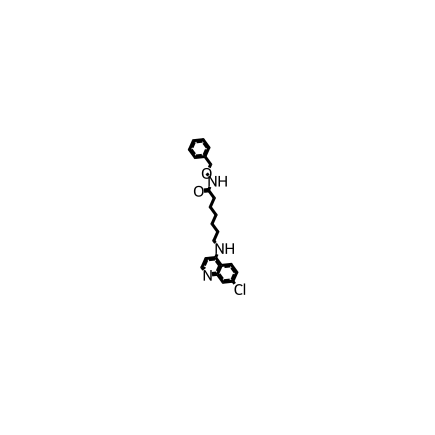 O=C(CCCCCCNc1ccnc2cc(Cl)ccc12)NOCc1ccccc1